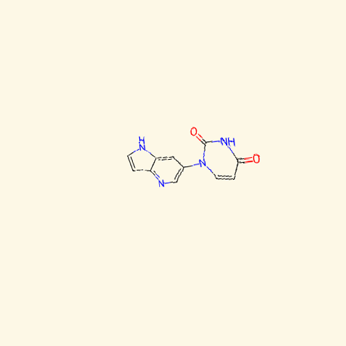 O=c1ccn(-c2cnc3cc[nH]c3c2)c(=O)[nH]1